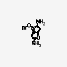 CCOn1c(N)cc2oc(N)cc21